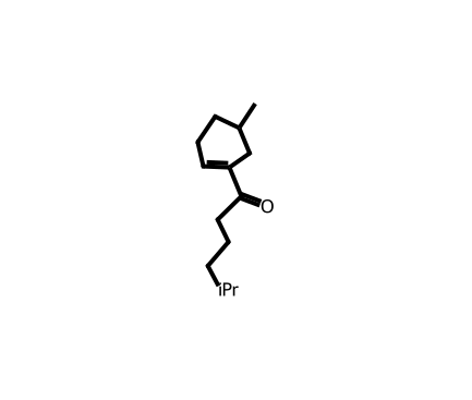 CC(C)CCCC(=O)C1=CCCC(C)C1